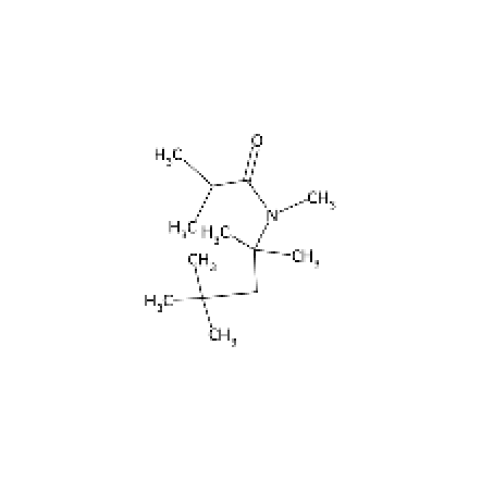 CC(C)C(=O)N(C)C(C)(C)CC(C)(C)C